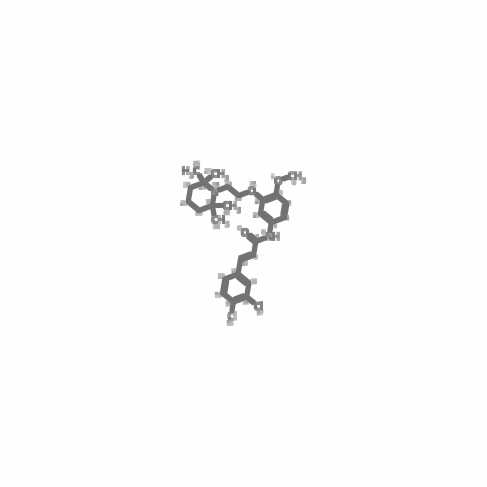 COc1ccc(NC(=O)C=Cc2ccc(Cl)c(Cl)c2)cc1OCCN1C(C)(C)CCCC1(C)C